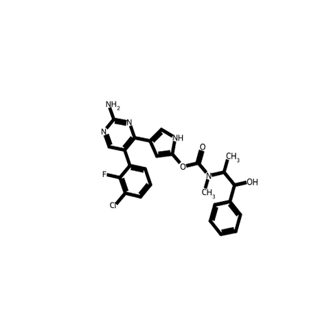 CC(C(O)c1ccccc1)N(C)C(=O)Oc1cc(-c2nc(N)ncc2-c2cccc(Cl)c2F)c[nH]1